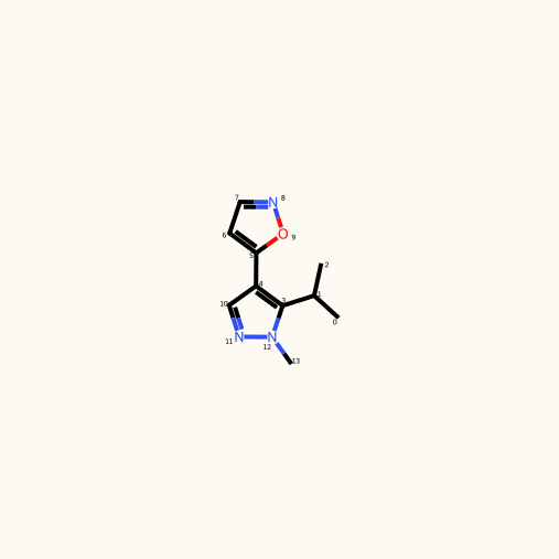 CC(C)c1c(-c2ccno2)cnn1C